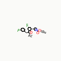 CC(=O)c1oc2c(-c3ccn(C(=O)OC(C)(C)C)c3)cc(F)cc2c1Cc1cccc(F)c1